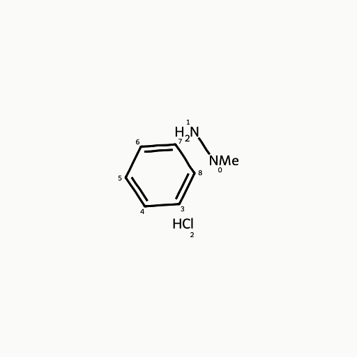 CNN.Cl.c1ccccc1